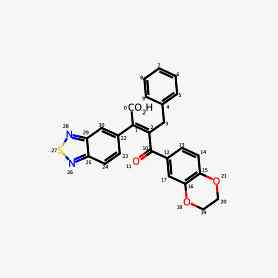 O=C(O)/C(=C(\Cc1ccccc1)C(=O)c1ccc2c(c1)OCCO2)c1ccc2nsnc2c1